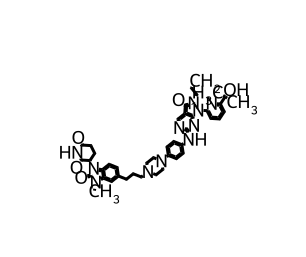 C=CCn1c(=O)c2cnc(Nc3ccc(N4CCN(CCCc5ccc6c(c5)n(C)c(=O)n6C5CCC(=O)NC5=O)CC4)cc3)nc2n1-c1cccc(C(C)(C)O)n1